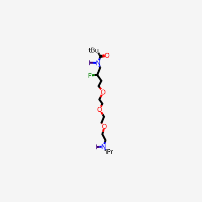 CC(C)N(I)CCOCCOCCOCCC(F)CN(I)C(=O)C(C)(C)C